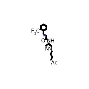 CC(=O)CCCCn1cc(NC(=O)/C=C/c2ccccc2C(F)(F)F)cn1